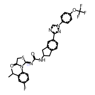 CC(C)c1cc(F)ccc1N1C(=O)CS/C1=N\C(=O)NC1Cc2ccc(-c3ncn(-c4ccc(OC(F)(F)F)cc4)n3)cc2C1